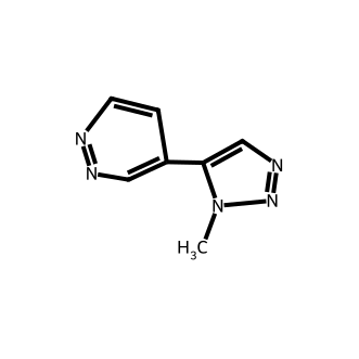 Cn1nncc1-c1ccnnc1